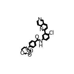 O=C(Nc1ccc(Cl)c(-c2ccc3cnccc3n2)c1)c1ccc(N2CCOCS2(=O)=O)cc1